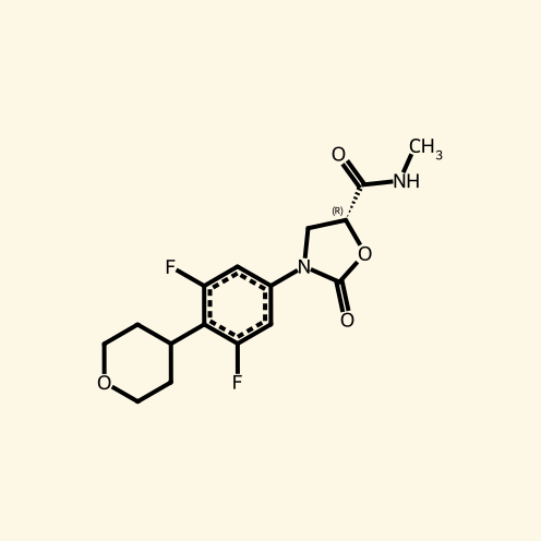 CNC(=O)[C@H]1CN(c2cc(F)c(C3CCOCC3)c(F)c2)C(=O)O1